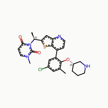 Cc1cc(Cl)cc(-c2ccnc3cc([C@H](C)n4c(=O)ccn(C)c4=O)sc23)c1O[C@H]1CCCNC1